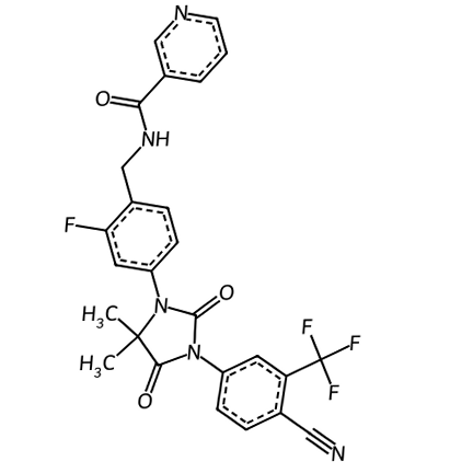 CC1(C)C(=O)N(c2ccc(C#N)c(C(F)(F)F)c2)C(=O)N1c1ccc(CNC(=O)c2cccnc2)c(F)c1